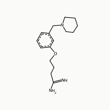 N=C(N)CCCOc1cccc(CN2CCCCC2)c1